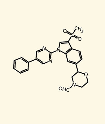 CS(=O)(=O)c1cn(-c2ncc(-c3ccccc3)cn2)c2cc(C3CN(C=O)CCO3)ccc12